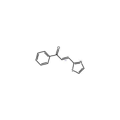 O=C(/C=C/c1nccs1)c1ccccc1